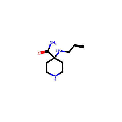 C=CCNC1(C(N)=O)CCNCC1